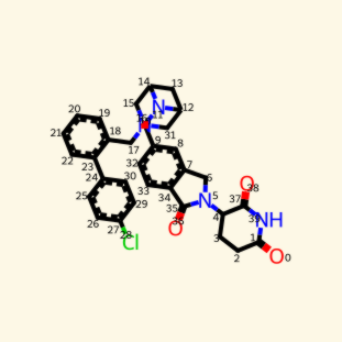 O=C1CCC(N2Cc3cc(CN4C5CC4CN(Cc4ccccc4-c4ccc(Cl)cc4)C5)ccc3C2=O)C(=O)N1